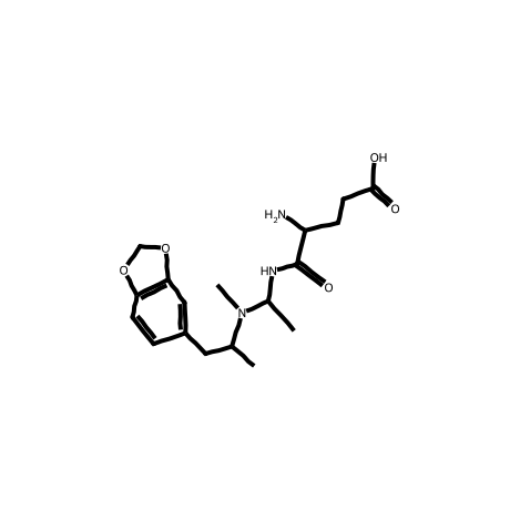 CC(Cc1ccc2c(c1)OCO2)N(C)C(C)NC(=O)C(N)CCC(=O)O